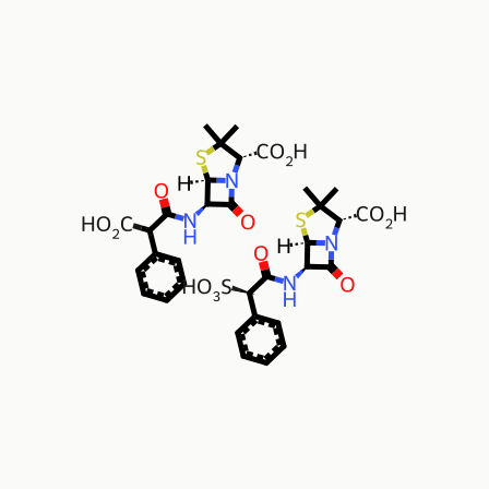 CC1(C)S[C@@H]2[C@H](NC(=O)C(C(=O)O)c3ccccc3)C(=O)N2[C@H]1C(=O)O.CC1(C)S[C@@H]2[C@H](NC(=O)[C@@H](c3ccccc3)S(=O)(=O)O)C(=O)N2[C@H]1C(=O)O